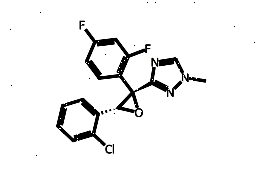 Cn1cnc([C@@]2(c3ccc(F)cc3F)O[C@@H]2c2ccccc2Cl)n1